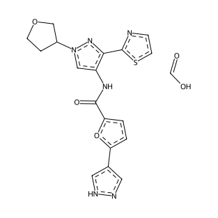 O=C(Nc1cn(C2CCOC2)nc1-c1nccs1)c1ccc(-c2cn[nH]c2)o1.O=CO